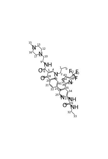 CCCn1cc(C(=O)NCCN2CCN(C)CC2)c(=O)c2ccc(-c3cnc(NC(=O)NCC)cc3-c3nc(C(F)(F)F)cs3)cc21